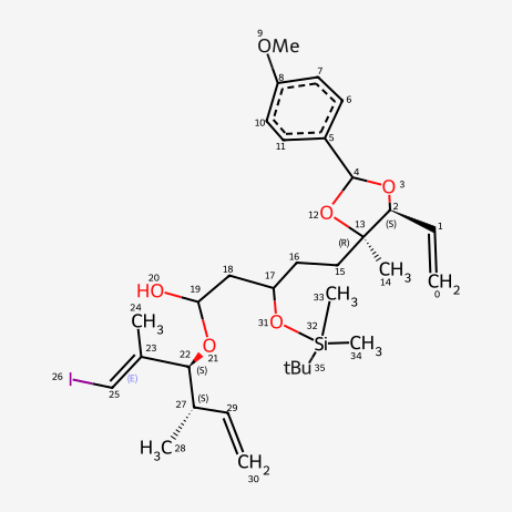 C=C[C@@H]1OC(c2ccc(OC)cc2)O[C@]1(C)CCC(CC(O)O[C@H](/C(C)=C/I)[C@@H](C)C=C)O[Si](C)(C)C(C)(C)C